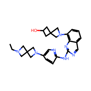 CCN1CC2(C1)CN(c1ccc(Nc3ncc4cccc(N5CC6(CC(O)C6)C5)c4n3)nc1)C2